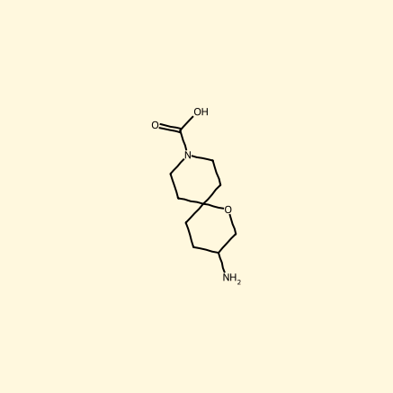 NC1CCC2(CCN(C(=O)O)CC2)OC1